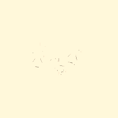 Cc1nc(-c2nnn(C)c2NC(=O)O[C@H](C)c2ccccc2C(F)(F)F)ccc1N